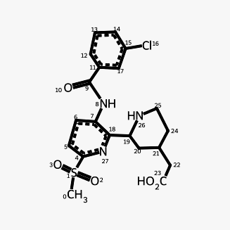 CS(=O)(=O)c1ccc(NC(=O)c2cccc(Cl)c2)c(C2CC(CC(=O)O)CCN2)n1